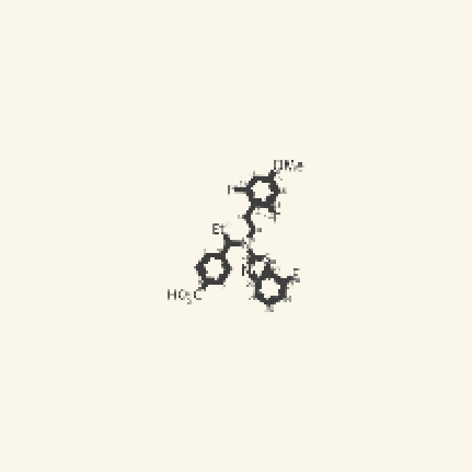 CCC(c1ccc(C(=O)O)cc1)N(CCc1c(F)cc(OC)cc1F)c1nc2cccc(F)c2s1